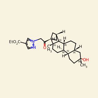 CCOC(=O)c1cnn(CC(=O)[C@]23C[C@H](C2)[C@H]2[C@@H]4CC[C@@H]5C[C@](C)(O)CC[C@@H]5[C@H]4CC[C@@]23C)c1